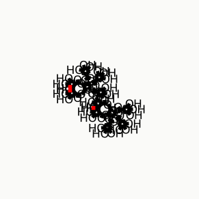 O=C(O[C@@H]1O[C@@H]2COC(=O)c3cc(Oc4c(C(=O)O[C@@H]5O[C@@H]6COC(=O)c7cc(O)c(O)c(O)c7-c7c(cc(O)c(O)c7O)C(=O)O[C@H]6[C@H](OC(=O)c6cc(O)c(O)c(O)c6)[C@H]5OC(=O)c5cc(O)c(O)c(O)c5)cc(O)c(O)c4O)c(O)c(O)c3-c3c(cc(O)c(O)c3O)C(=O)O[C@H]2[C@H](OC(=O)c2cc(O)c(O)c(O)c2)[C@H]1OC(=O)c1cc(O)c(O)c(O)c1)c1cc(O)c(O)c(O)c1